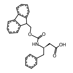 O=C(O)C[C@@H](Cc1ccccc1)NC(=O)OCC1c2ccccc2-c2ccccc21